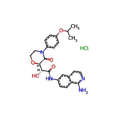 CC(C)Oc1ccc(N2CCO[C@H]([C@@H](O)C(=O)Nc3ccc4c(N)nccc4c3)C2=O)cc1.Cl